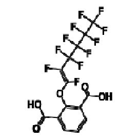 O=C(O)c1cccc(C(=O)O)c1OC(F)=C(F)C(F)(F)C(F)(F)C(F)(F)C(F)(F)F